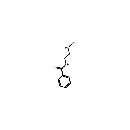 CC(C)NCCNC(=O)c1ccccc1